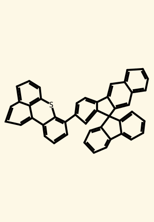 c1ccc2c(c1)-c1ccccc1C21c2cc(-c3cccc4c3Sc3cccc5cccc-4c35)ccc2-c2cc3ccccc3cc21